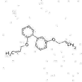 C=CCOc1cccc(-c2ccccc2OCC=C)c1